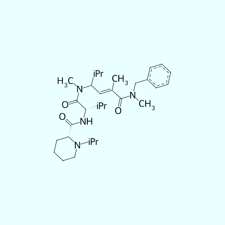 C/C(=C\C(C(C)C)N(C)C(=O)[C@@H](NC(=O)[C@H]1CCCCN1C(C)C)C(C)C)C(=O)N(C)Cc1ccccc1